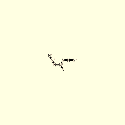 [N-]=[N+]=N[N+](=[N-])N=[N+]=[N-]